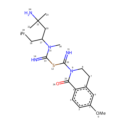 COc1ccc2c(c1)CCN(C(=N)SC(=N)N(C)C(CC(C)C)CC(C)(C)N)C2=O